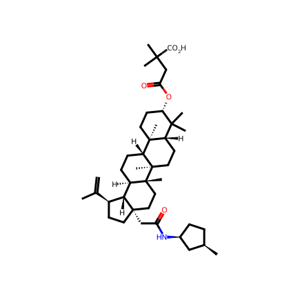 C=C(C)[C@@H]1CC[C@]2(CC(=O)N[C@H]3CC[C@@H](C)C3)CC[C@]3(C)[C@H](CC[C@@H]4[C@@]5(C)CC[C@H](OC(=O)CC(C)(C)C(=O)O)C(C)(C)[C@@H]5CC[C@]43C)[C@@H]12